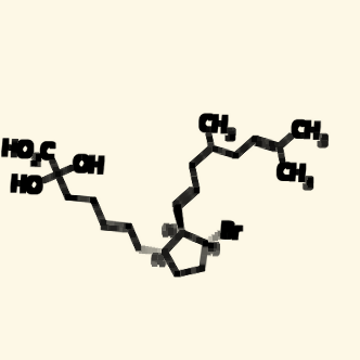 CC(C)=CCC(C)CC=C[C@@H]1[C@@H](CC=CCCC(O)(O)C(=O)O)CC[C@H]1Br